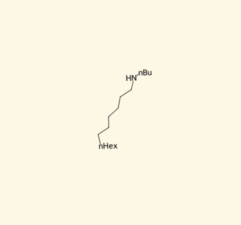 CCCCCCCCCCCCNCCCC